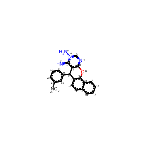 N=c1c2c(ncn1N)Oc1c(ccc3ccccc13)C2c1cccc([N+](=O)[O-])c1